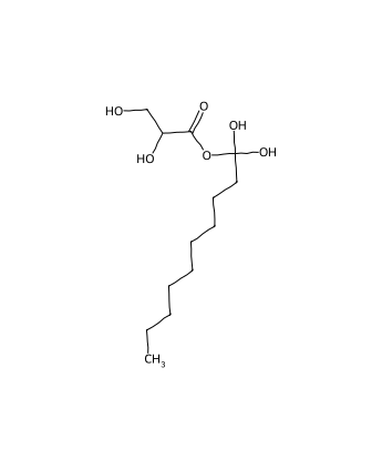 CCCCCCCCCC(O)(O)OC(=O)C(O)CO